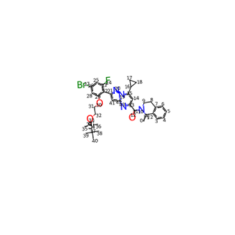 C[C@@H]1c2ccccc2CCN1C(=O)c1cc(C2CC2)n2nc(-c3c(F)cc(Br)cc3OCCO[Si](C)(C)C(C)(C)C)cc2n1